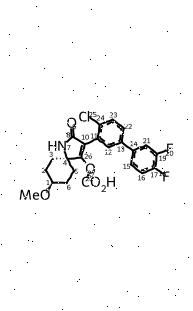 CO[C@H]1CC[C@]2(CC1)NC(=O)C(c1cc(-c3ccc(F)c(F)c3)ccc1Cl)=C2OC(=O)O